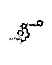 CSCOC(=O)CC/C=C\CCC1[C@@H](OC/C=C/c2ccccc2)CC(=O)[C@@H]1N1CCOCC1